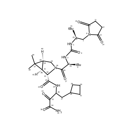 CC(C)(C)[C@H](NC(=O)N[C@H](CN1C(=O)CCC1=O)C(C)(C)C)C(=O)N1C[C@H]2[C@@H]([C@H]1C(=O)NC(CC1CCC1)C(=O)C(N)=O)C2(C)C